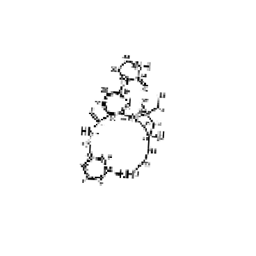 C=C1NSc2cccc(n2)NCCC[C@@H]2CN(c3nc(N4CCNC4=C)ccc31)C(C)(CC)C2